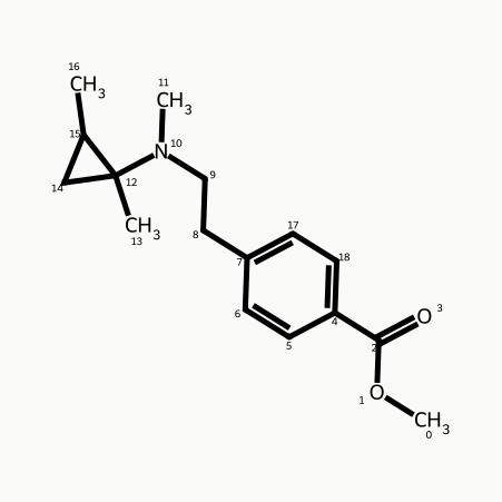 COC(=O)c1ccc(CCN(C)C2(C)CC2C)cc1